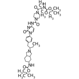 CCC(Cc1ccc(-n2ccc(NC(=O)N3CCN(C(=O)C(C)(C)NC(=O)OC(C)(C)C)CC3)nc2=O)cc1)N1CC2CCC(NC(=O)OC(C)(C)C)CC2C1